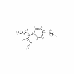 CC(CF)C(C(=O)O)c1ccc(CC(F)(F)F)cc1